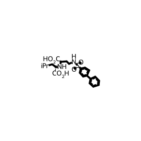 CC(C)C[C@H](NC(CCNS(=O)(=O)c1ccc(-c2ccccc2)cc1)C(=O)O)C(=O)O